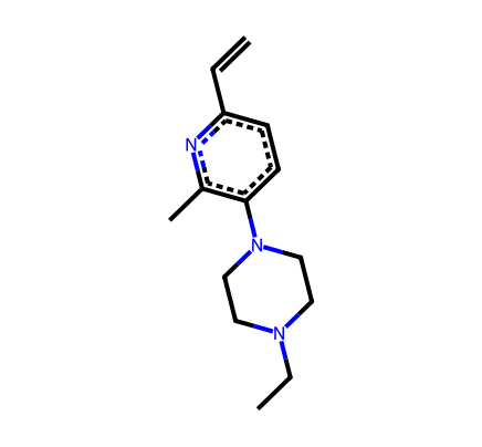 C=Cc1ccc(N2CCN(CC)CC2)c(C)n1